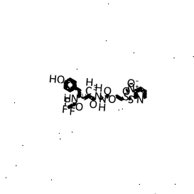 C[C@@H](C[C@H](Cc1ccc(O)cc1)NC(=O)C(F)(F)F)C(=O)NNC(=O)OCCSSc1ncccc1[N+](=O)[O-]